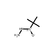 CC(C)(C)[S@@+]([O-])NN